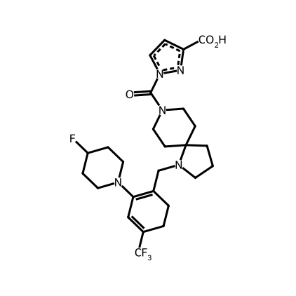 O=C(O)c1ccn(C(=O)N2CCC3(CCCN3CC3=C(N4CCC(F)CC4)C=C(C(F)(F)F)CC3)CC2)n1